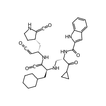 O=C=C[C@H](C[C@@H]1CCNC1=C=O)NC(=C=O)[C@H](CC1CCCCC1)NC[C@H](NC(=O)c1cc2ccccc2[nH]1)C(=O)C1CC1